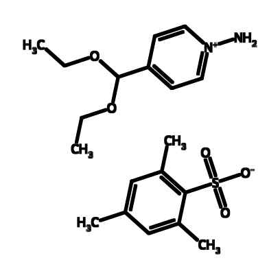 CCOC(OCC)c1cc[n+](N)cc1.Cc1cc(C)c(S(=O)(=O)[O-])c(C)c1